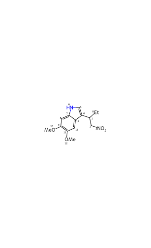 CCC(C[N+](=O)[O-])c1c[nH]c2cc(OC)c(OC)cc12